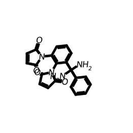 NC(N)(c1ccccc1)c1cccc(N2C(=O)C=CC2=O)c1N1C(=O)C=CC1=O